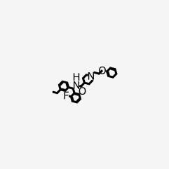 CCc1cccc(C(NC(=O)C2CCN(CCOC3=CCCC=C3)CC2)c2ccccc2F)c1